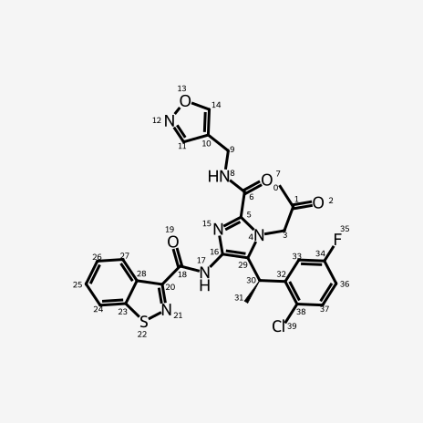 CC(=O)Cn1c(C(=O)NCc2cnoc2)nc(NC(=O)c2nsc3ccccc23)c1[C@H](C)c1cc(F)ccc1Cl